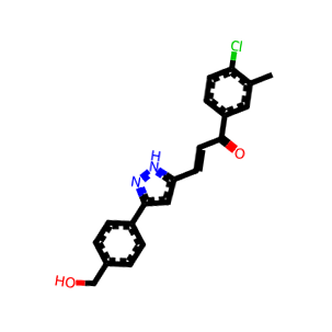 Cc1cc(C(=O)/C=C/c2cc(-c3ccc(CO)cc3)n[nH]2)ccc1Cl